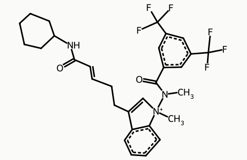 CN(C(=O)c1cc(C(F)(F)F)cc(C(F)(F)F)c1)[N+]1(C)C=C(CCC=CC(=O)NC2CCCCC2)c2ccccc21